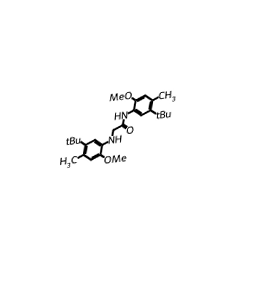 COc1cc(C)c(C(C)(C)C)cc1NCC(=O)Nc1cc(C(C)(C)C)c(C)cc1OC